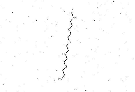 CCNCCOCCOCCNCCOCCO